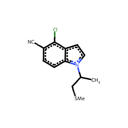 CSCC(C)n1ccc2c(Cl)c(C#N)ccc21